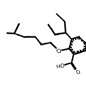 CCC(CC)c1cccc(C(=O)O)c1OCCCCC(C)C